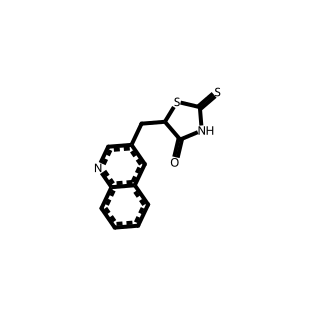 O=C1NC(=S)SC1Cc1cnc2ccccc2c1